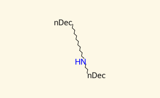 CCCCCCCCCCCCCCCCCCCCCCCNCCCCCCCCCCCCCC